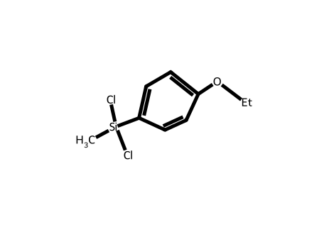 CCOc1ccc([Si](C)(Cl)Cl)cc1